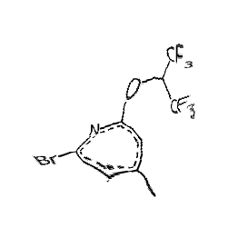 Cc1[c]c(Br)nc(OC(C(F)(F)F)C(F)(F)F)c1